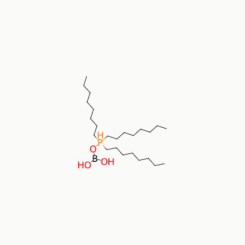 CCCCCCCC[PH](CCCCCCCC)(CCCCCCCC)OB(O)O